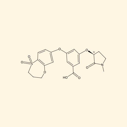 CN1CC[C@H](Oc2cc(Oc3ccc4c(c3)OCCCS4(=O)=O)cc(C(=O)O)c2)C1=O